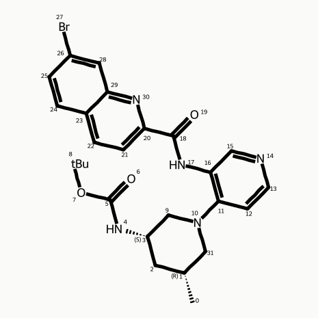 C[C@@H]1C[C@H](NC(=O)OC(C)(C)C)CN(c2ccncc2NC(=O)c2ccc3ccc(Br)cc3n2)C1